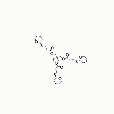 CCC(COC(=O)CCSC1CCCCO1)(COC(=O)CCSC1CCCCO1)COC(=O)CCSC1CCCCO1